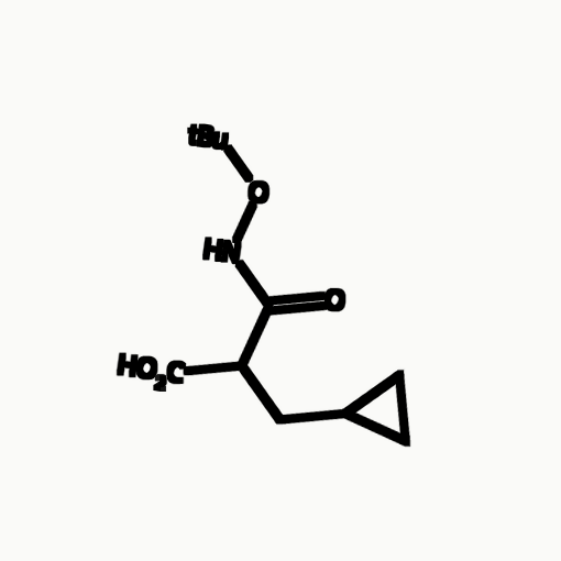 CC(C)(C)ONC(=O)C(CC1CC1)C(=O)O